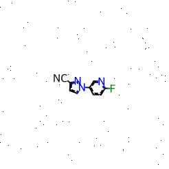 N#Cc1ccn(-c2ccc(F)nc2)n1